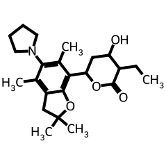 CCC1C(=O)OC(c2c(C)c(N3CCCC3)c(C)c3c2OC(C)(C)C3)CC1O